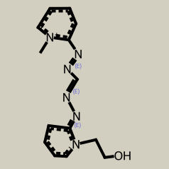 C[n+]1ccccc1/N=N/C=N/N=c1\ccccn1CCO